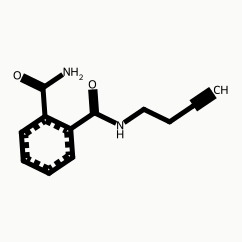 C#CCCNC(=O)c1ccccc1C(N)=O